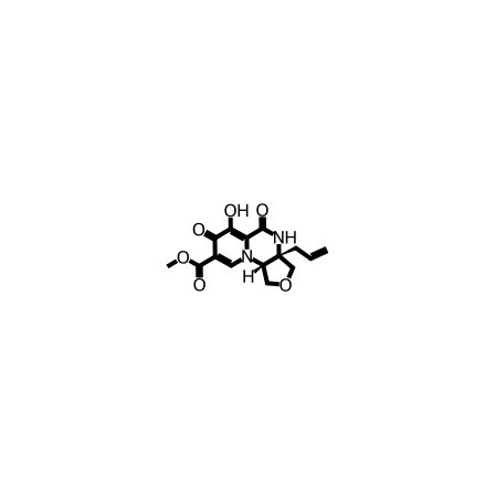 C=CC[C@@]12COC[C@@H]1n1cc(C(=O)OC)c(=O)c(O)c1C(=O)N2